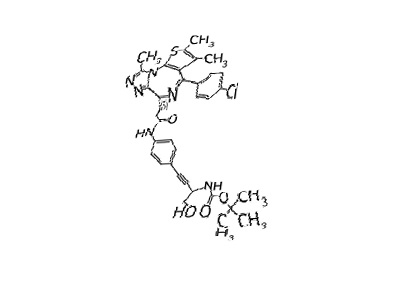 Cc1sc2c(c1C)C(c1ccc(Cl)cc1)=N[C@@H](CC(=O)Nc1ccc(C#CC(CO)NC(=O)OC(C)(C)C)cc1)c1nnc(C)n1-2